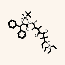 CCC(O[Si](CC)(CC)CC)C(C)(C)C(=O)C(=O)/C(C)=C(\C)[C@H](C)OC(=O)[C@H](O[Si](C)(C)C(C)(C)C)C(c1ccccc1)c1ccccc1